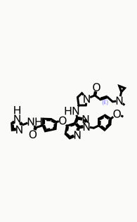 COc1ccc(Cn2nc(NC3CCN(C(=O)/C=C/CN(C)C4CC4)C3)c3c(Oc4ccc(C(=O)Nc5ncc[nH]5)cc4)ccnc32)cc1